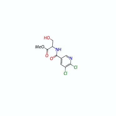 COC(=O)C(CO)NC(=O)c1cnc(Cl)c(Cl)c1